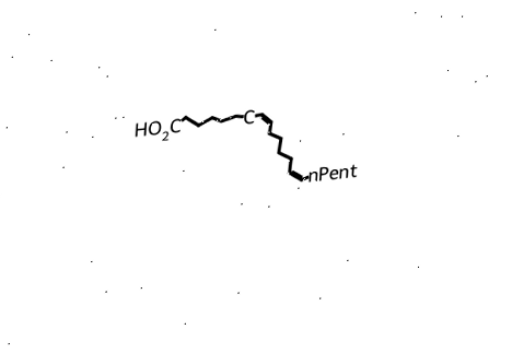 CCCCC/C=C\CCCC/C=C\CCCCCCC(=O)O